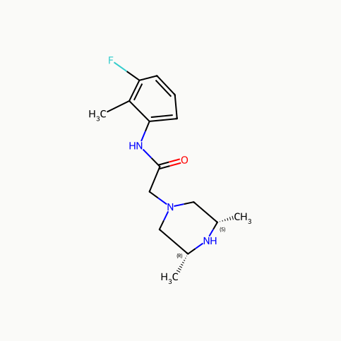 Cc1c(F)cccc1NC(=O)CN1C[C@@H](C)N[C@@H](C)C1